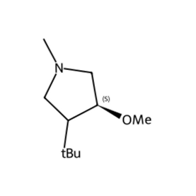 CO[C@@H]1CN(C)CC1C(C)(C)C